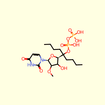 CCCCC(CCCC)(OP(=O)(O)OP(=O)(O)O)[C@@H]1O[C@H](n2ccc(=O)[nH]c2=O)C(OC)C1O